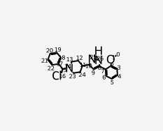 COc1ccccc1-c1cc(C2CCN(C(Cl)c3ccccc3)CC2)n[nH]1